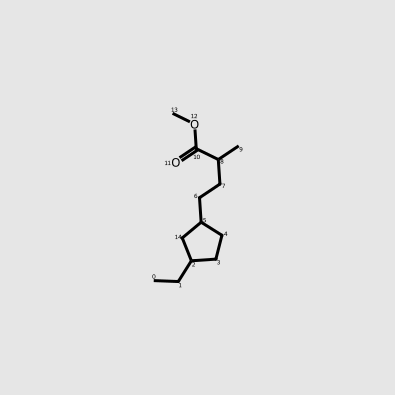 CCC1CCC(CCC(C)C(=O)OC)C1